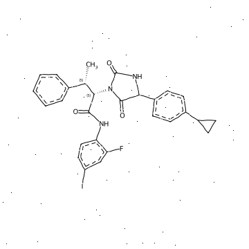 C[C@@H](c1ccccc1)[C@@H](C(=O)Nc1ccc(I)cc1F)N1C(=O)NC(c2ccc(C3CC3)cc2)C1=O